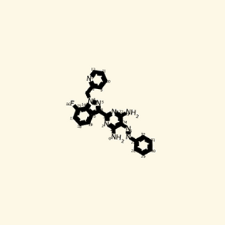 Nc1nc(-c2nn(Cc3ccccn3)c3c(F)cccc23)nc(N)c1N=Nc1ccccc1